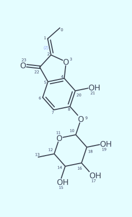 C/C=C1\Oc2c(ccc(OC3OC(C)C(O)C(O)C3O)c2O)C1=O